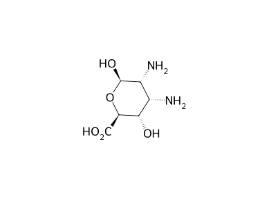 N[C@@H]1[C@H](N)[C@H](O)[C@@H](C(=O)O)O[C@H]1O